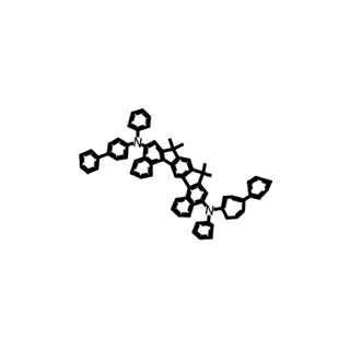 CC1(C)c2cc3c(cc2-c2c1cc(N(C1=CC=C(c4ccccc4)C=CC1)c1ccccc1)c1ccccc21)-c1c(cc(N(c2ccccc2)c2ccc(-c4ccccc4)cc2)c2ccccc12)C3(C)C